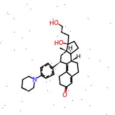 C[C@]12C[C@H](c3ccc(N4CCCCC4)cc3)C3=C4CCC(=O)C=C4CC[C@H]3[C@@H]1CC[C@@]2(O)CCCO